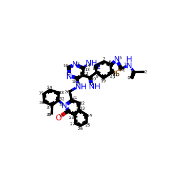 C=C(C)Nc1nc2ccc(C(=N)c3c(N)ncnc3NCc3cc4ccccc4c(=O)n3-c3ccccc3C)cc2s1